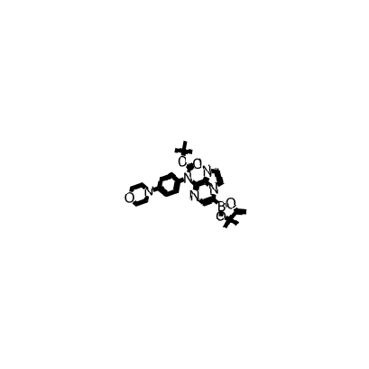 C=C1OB(c2cnc(N(C(=O)OC(C)(C)C)c3ccc(N4CCOCC4)cc3)c3nccn23)OC1(C)C